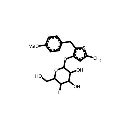 COc1ccc(Cc2sc(C)cc2OC2OC(CO)C(F)C(O)C2O)cc1